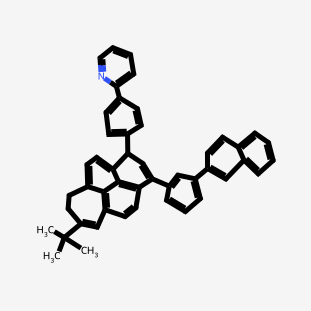 CC(C)(C)C1=Cc2ccc3c4c(ccc(c24)CC1)C(c1ccc(-c2ccccn2)cc1)C=C3c1cccc(-c2ccc3ccccc3c2)c1